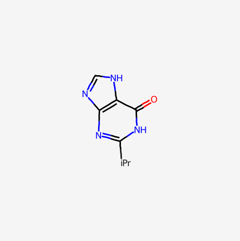 CC(C)c1nc2nc[nH]c2c(=O)[nH]1